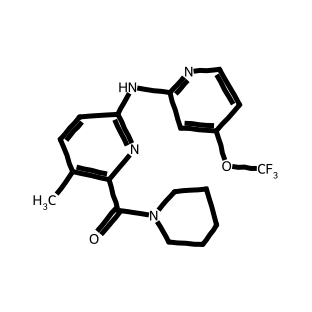 Cc1ccc(Nc2cc(OC(F)(F)F)ccn2)nc1C(=O)N1CCCCC1